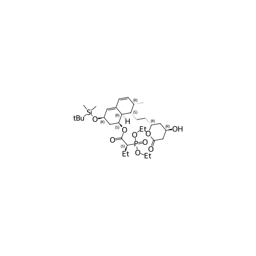 CCOP(=O)(OCC)[C@@H](CC)C(=O)O[C@H]1C[C@@H](O[Si](C)(C)C(C)(C)C)C=C2C=C[C@H](C)[C@H](CC[C@@H]3C[C@@H](O)CC(=O)O3)[C@H]21